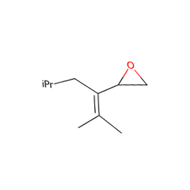 CC(C)=C(CC(C)C)C1CO1